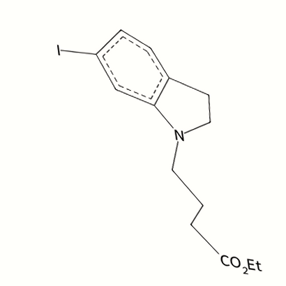 CCOC(=O)CCCN1CCc2ccc(I)cc21